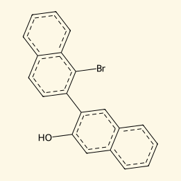 Oc1cc2ccccc2cc1-c1ccc2ccccc2c1Br